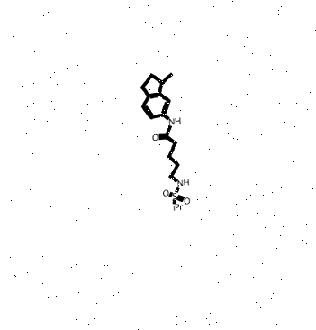 CC1CCc2ccc(NC(=O)CCCCNS(=O)(=O)C(C)C)cc21